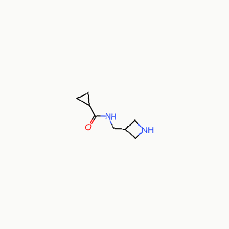 O=C(NCC1CNC1)C1CC1